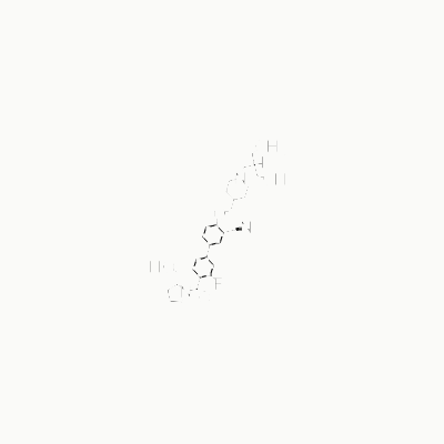 CCC(F)(CC)CN1CCC(COc2ccc(-c3ccc(C(=O)N4CCC[C@@H]4CO)c(F)c3)cc2C#N)CC1